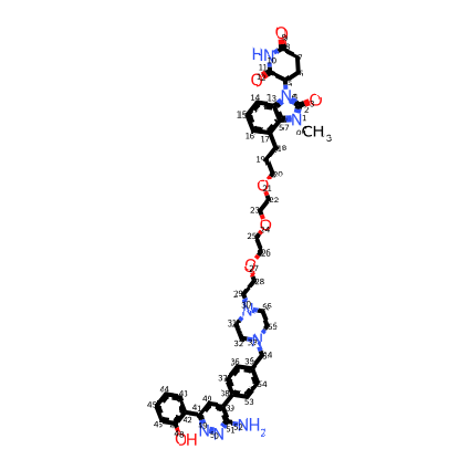 Cn1c(=O)n(C2CCC(=O)NC2=O)c2cccc(CCCOCCOCCOCCN3CCN(Cc4ccc(-c5cc(-c6ccccc6O)nnc5N)cc4)CC3)c21